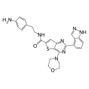 Nc1ccc(CCNC(=O)c2cc3nc(-c4cccc5[nH]ncc45)nc(N4CCOCC4)c3s2)cc1